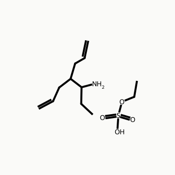 C=CCC(CC=C)C(N)CC.CCOS(=O)(=O)O